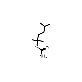 CC(C)CCC(C)(C)OC(N)=O